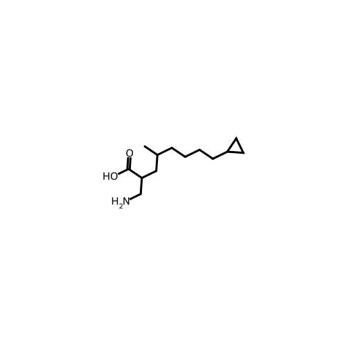 CC(CCCCC1CC1)CC(CN)C(=O)O